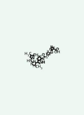 Cc1cnc(Nc2cc(C)n(C)n2)nc1-c1c[nH]c2c(NC(=O)CN3CCC(Oc4oncc4C(=O)O)C3)cccc12